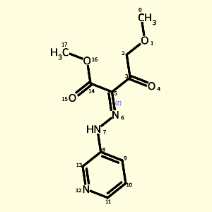 COCC(=O)/C(=N/Nc1cccnc1)C(=O)OC